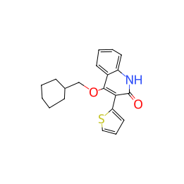 O=c1[nH]c2ccccc2c(OCC2CCCCC2)c1-c1cccs1